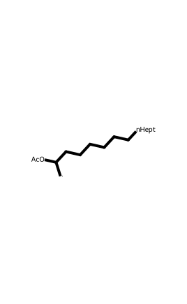 [CH2]C(CCCCCCCCCCCCC)OC(C)=O